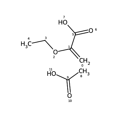 C=C(OCC)C(=O)O.CC(=O)O